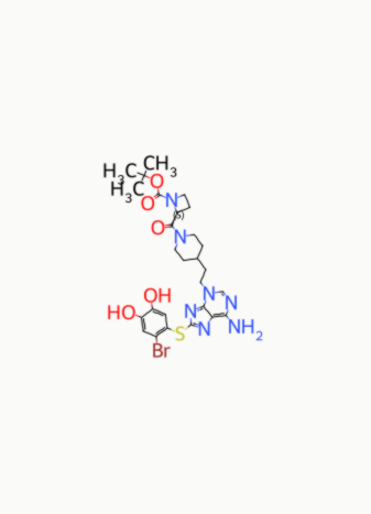 CC(C)(C)OC(=O)N1CC[C@H]1C(=O)N1CCC(CCn2cnc(N)c3nc(Sc4cc(O)c(O)cc4Br)nc2-3)CC1